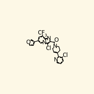 O=C(c1nc2c(C(F)(F)F)cc(-c3ccoc3)cn2c1Cl)N1CC=C(c2ncccc2Cl)CC1